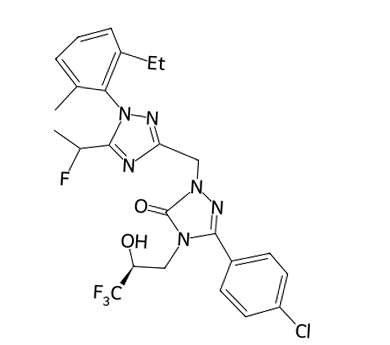 CCc1cccc(C)c1-n1nc(Cn2nc(-c3ccc(Cl)cc3)n(C[C@H](O)C(F)(F)F)c2=O)nc1C(C)F